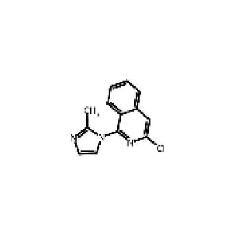 Cc1nccn1-c1nc(Cl)cc2ccccc12